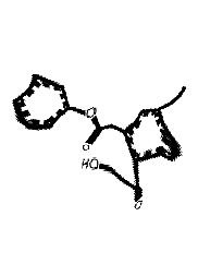 Cc1ccc(C(=O)O)c(C(=O)Oc2ccccc2)c1